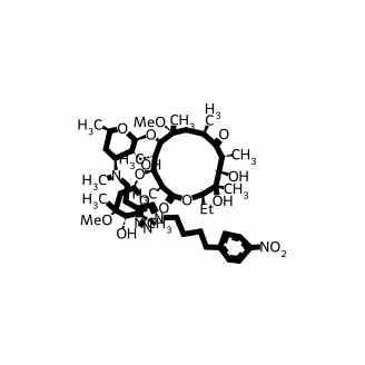 CC[C@H]1OC(=O)[C@H](C)[C@@H](O[C@H]2C[C@@](C)(OC)[C@@H](O)[C@H](C)O2)[C@H](C)[C@@H](O[C@@H]2O[C@H](C)C[C@H](N(C)CCc3cn(CCCCc4ccc([N+](=O)[O-])cc4)nn3)[C@H]2O)[C@](C)(OC)C[C@@H](C)C(=O)[C@H](C)[C@@H](O)[C@]1(C)O